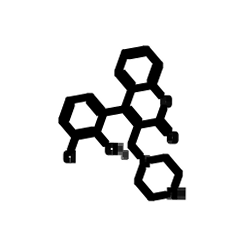 Cc1c(Cl)cccc1-c1c(CN2CCNCC2)c(=O)oc2ccccc12